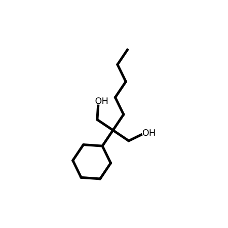 CCCCCC(CO)(CO)C1CCCCC1